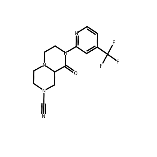 N#CN1CCN2CCN(c3cc(C(F)(F)F)ccn3)C(=O)C2C1